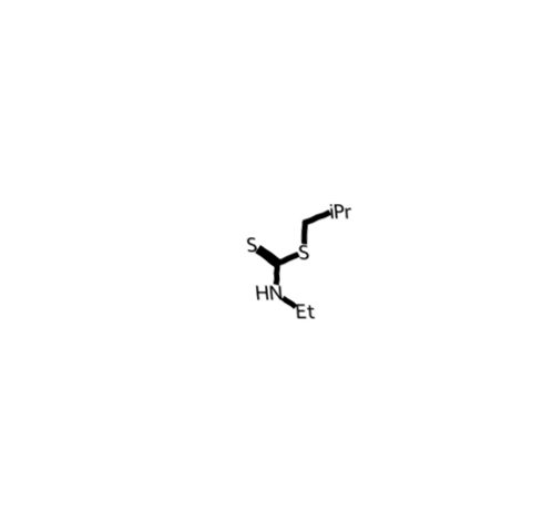 CCNC(=S)SCC(C)C